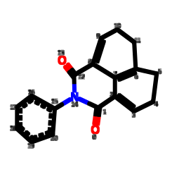 O=C1C2=CCCC3=C2C(=CCC3)C(=O)N1c1ccccc1